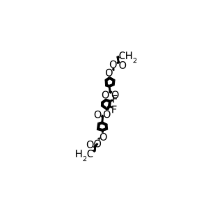 C=CC(=O)OCOc1ccc(C(=O)Oc2ccc(OC(=O)c3ccc(OCOC(=O)C=C)cc3)c(F)c2F)cc1